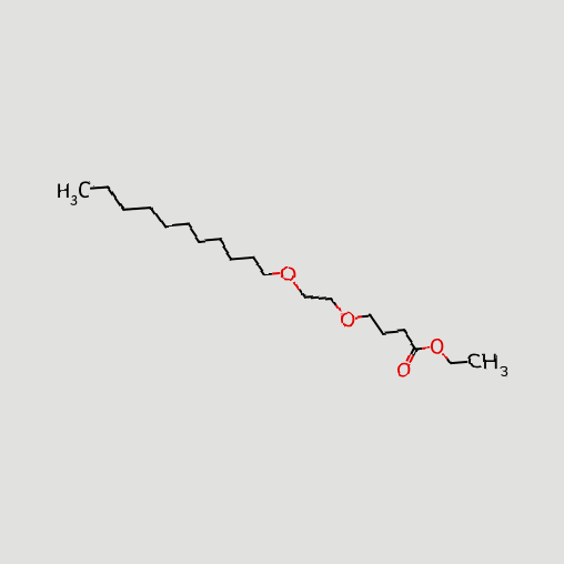 CCCCCCCCCCCOCCOCCCC(=O)OCC